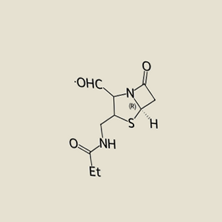 CCC(=O)NCC1S[C@@H]2CC(=O)N2C1[C]=O